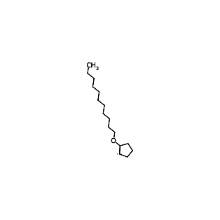 CCCCCCCCCCCOC1[CH]CCC1